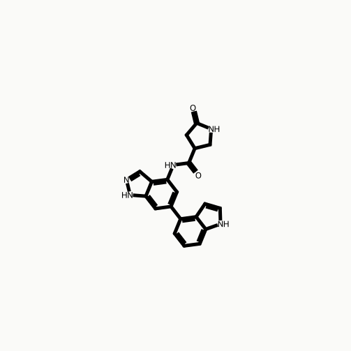 O=C1CC(C(=O)Nc2cc(-c3cccc4[nH]ccc34)cc3[nH]ncc23)CN1